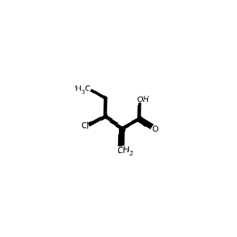 C=C(C(=O)O)C(Cl)CC